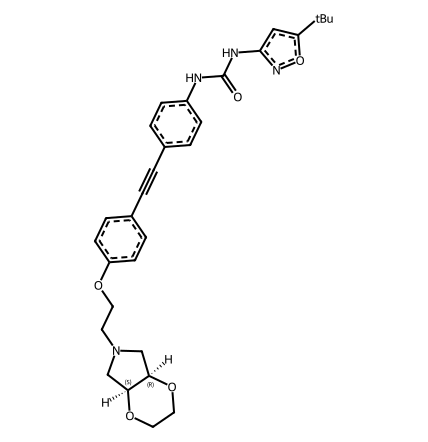 CC(C)(C)c1cc(NC(=O)Nc2ccc(C#Cc3ccc(OCCN4C[C@@H]5OCCO[C@@H]5C4)cc3)cc2)no1